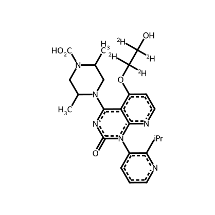 [2H]C([2H])(O)C([2H])([2H])Oc1ccnc2c1c(N1CC(C)N(C(=O)O)CC1C)nc(=O)n2-c1cccnc1C(C)C